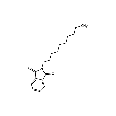 [CH2]CCCCCCCCCN1C(=O)c2ccccc2C1=O